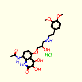 COc1ccc(CCNCC(O)COc2ccc(NC(C)=O)c3[nH]c(=O)c(O)c(O)c23)cc1OC.Cl